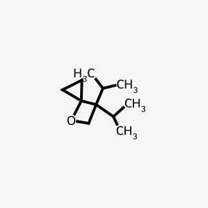 CC(C)C1(C(C)C)COC12CC2